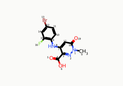 Cn1nc(C(=O)O)c(Nc2ccc(Br)cc2F)cc1=O